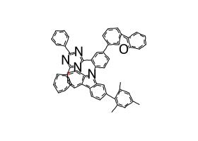 Cc1cc(C)c(-c2ccc3c4ccccc4n(-c4ccc(-c5cccc6c5oc5ccccc56)cc4-c4nc(-c5ccccc5)nc(-c5ccccc5)n4)c3c2)c(C)c1